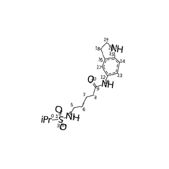 CC(C)S(=O)(=O)NCCCCC(=O)Nc1ccc2c(c1)CCN2